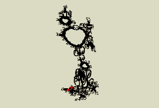 C=CCOC(=O)[C@H]1O[C@@H](Oc2ccc(COC(=O)O[C@H]3[C@@H](C)CCC/C(C)=C\C[C@@H](c4ccc5sc(C)nc5c4)OC(=O)C[C@H](O[Si](C)(C)C(C)(C)C)C(C)(C)C(=O)[C@@H]3CC=C)cc2[N+](=O)[O-])[C@H](O[Si](C)(C)C(C)(C)C)[C@@H](O[Si](C)(C)C(C)(C)C)[C@H]1O[Si](C)(C)C(C)(C)C